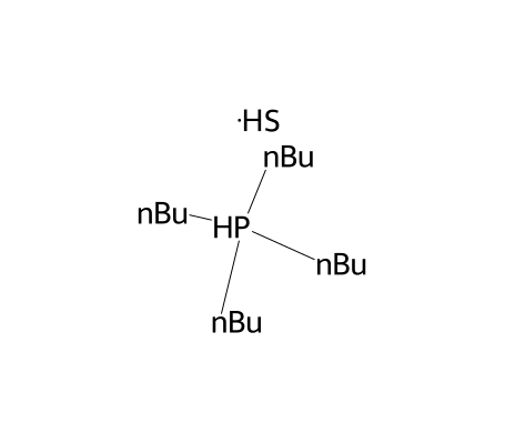 CCCC[PH](CCCC)(CCCC)CCCC.[SH]